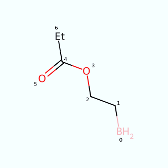 BCCOC(=O)CC